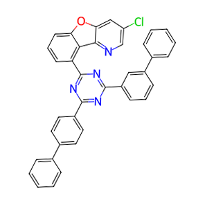 Clc1cnc2c(c1)oc1cccc(-c3nc(-c4ccc(-c5ccccc5)cc4)nc(-c4cccc(-c5ccccc5)c4)n3)c12